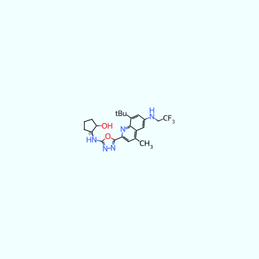 Cc1cc(-c2nnc(N[C@H]3CCCC3O)o2)nc2c(C(C)(C)C)cc(NCC(F)(F)F)cc12